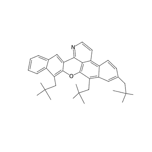 CC(C)(C)Cc1ccc2c(c1)c(CC(C)(C)C)c1c3c(nccc32)-c2cc3ccccc3c(CC(C)(C)C)c2O1